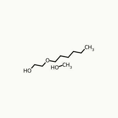 CCCCCCOCCO.CO